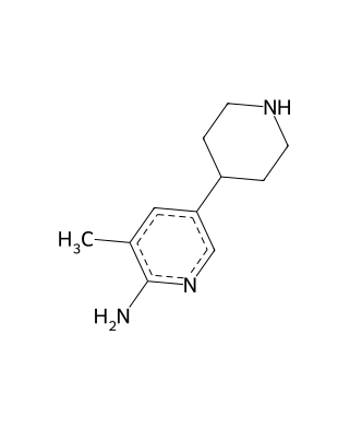 Cc1cc(C2CCNCC2)cnc1N